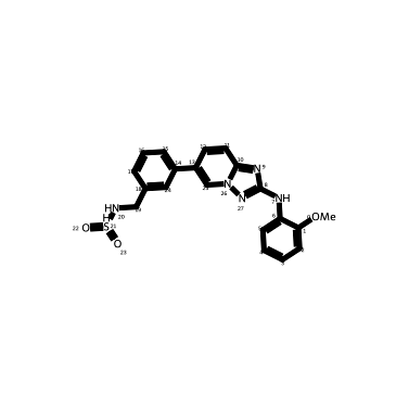 COc1ccccc1Nc1nc2ccc(-c3cccc(CN[SH](=O)=O)c3)cn2n1